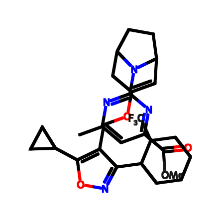 COC(=O)c1cc(C)nc(N2C3C=C(OCc4c(C5CCCCC5C(F)(F)F)noc4C4CC4)CC2CC3)n1